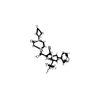 O=C(c1nc2c(C(F)(F)F)cc(-c3ccoc3)cn2c1Br)N1CCN(C2CCC2)C(=O)C1